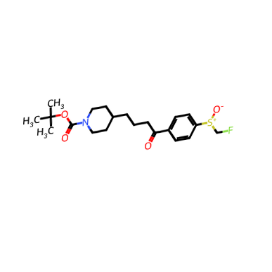 CC(C)(C)OC(=O)N1CCC(CCCC(=O)c2ccc([S+]([O-])CF)cc2)CC1